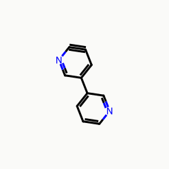 c1cc(-c2cccnc2)cnc#1